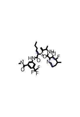 C=C(S/C(=C\CCC)C(=O)Nc1cc(C(=O)N(C)C)cc(C(F)(F)F)c1)C(C)NC(=O)C1=N/C=C/CC(C)/C(F)=C\1Cl